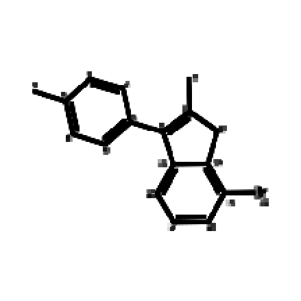 CC1=C(c2ccc(C)cc2)c2cccc(Br)c2C1